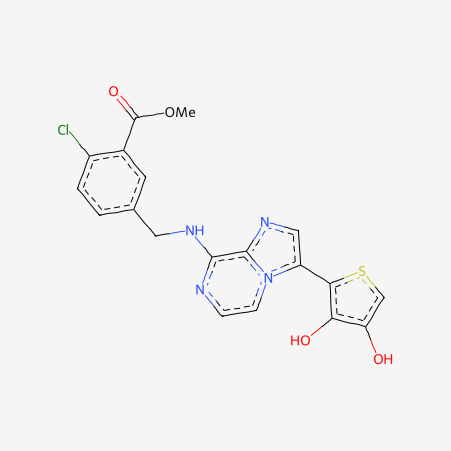 COC(=O)c1cc(CNc2nccn3c(-c4scc(O)c4O)cnc23)ccc1Cl